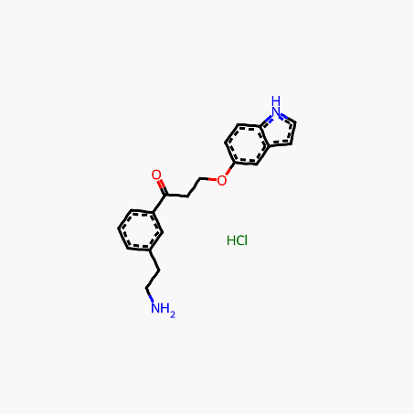 Cl.NCCc1cccc(C(=O)CCOc2ccc3[nH]ccc3c2)c1